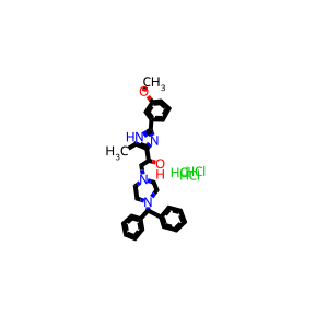 COc1cccc(-c2nc(C(O)CN3CCN(C(c4ccccc4)c4ccccc4)CC3)c(C)[nH]2)c1.Cl.Cl.Cl